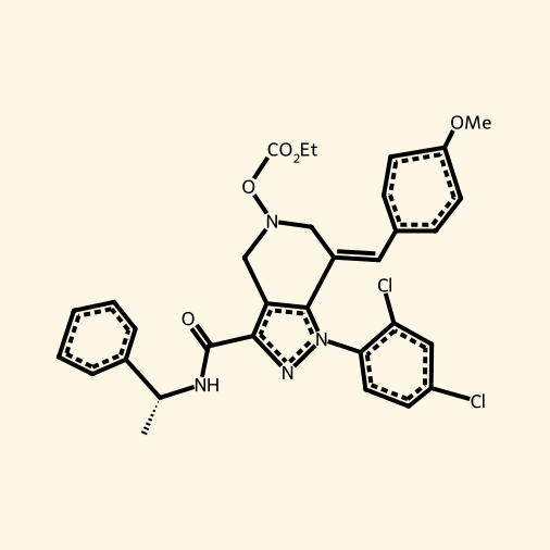 CCOC(=O)ON1C/C(=C\c2ccc(OC)cc2)c2c(c(C(=O)N[C@H](C)c3ccccc3)nn2-c2ccc(Cl)cc2Cl)C1